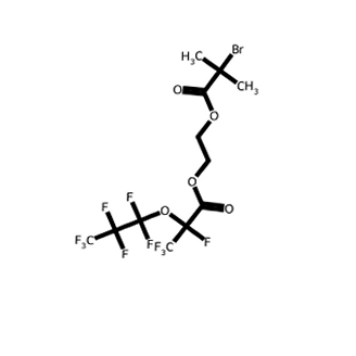 CC(C)(Br)C(=O)OCCOC(=O)C(F)(OC(F)(F)C(F)(F)C(F)(F)F)C(F)(F)F